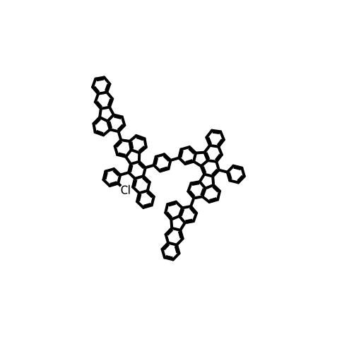 Clc1ccccc1-c1c2c(c(-c3ccc(-c4ccc5c(c4)c4c6c7ccc(-c8ccc9c%10c(cccc8%10)-c8cc%10ccccc%10cc8-9)c8cccc(c6c(-c6ccccc6)c6cc9ccccc9c5c64)c87)cc3)c3cc4ccccc4cc13)-c1cccc3c(-c4ccc5c6c(cccc46)-c4cc6ccccc6cc4-5)ccc-2c13